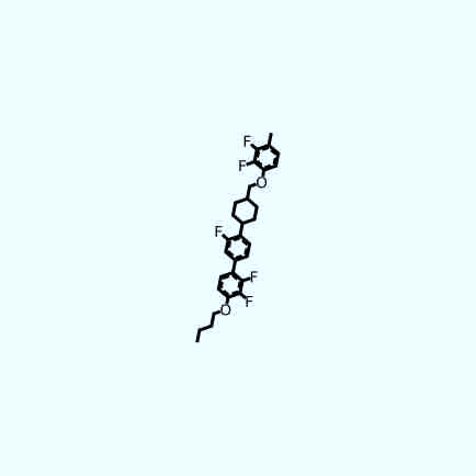 CCCCOc1ccc(-c2ccc(C3CCC(COc4ccc(C)c(F)c4F)CC3)c(F)c2)c(F)c1F